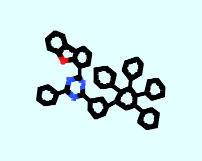 c1ccc(-c2nc(-c3cccc(-c4cc(-c5ccccc5)c(-c5ccccc5)c(-c5ccccc5)c4-c4ccccc4)c3)nc(-c3cccc4c3oc3ccccc34)n2)cc1